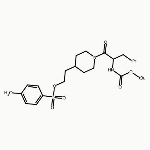 Cc1ccc(S(=O)(=O)OCCC2CCN(C(=O)C(CC(C)C)NC(=O)OC(C)(C)C)CC2)cc1